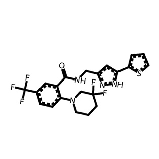 O=C(NCc1cc(-c2cccs2)[nH]n1)c1cc(C(F)(F)F)ccc1N1CCCC(F)(F)C1